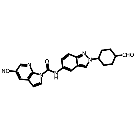 N#Cc1cnc2c(ccn2C(=O)Nc2ccc3nn(C4CCC(C=O)CC4)cc3c2)c1